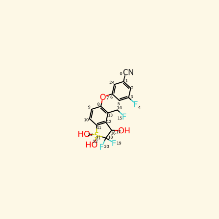 N#Cc1cc(F)cc(Oc2ccc3c(c2CF)C(O)C(F)(F)S3(O)O)c1